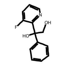 OCC(O)(c1ccccc1)c1ncccc1F